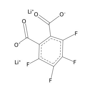 O=C([O-])c1c(F)c(F)c(F)c(F)c1C(=O)[O-].[Li+].[Li+]